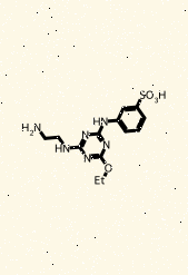 CCOc1nc(NCCN)nc(Nc2cccc(S(=O)(=O)O)c2)n1